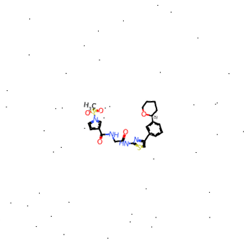 CS(=O)(=O)n1ccc(C(=O)NCC(=O)Nc2nc(-c3cccc([C@@H]4CCCCO4)c3)cs2)c1